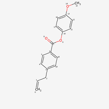 C=CCc1ccc(C(=O)Oc2ccc(OC)cc2)cc1